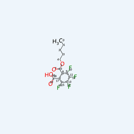 CCCCCOC(=O)c1c(F)c(F)c(F)c(F)c1C(=O)O